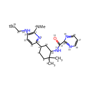 CNc1nc(C2CCC(C)(C)C(NC(=O)c3ncccn3)C2)ccc1NCC(C)(C)C